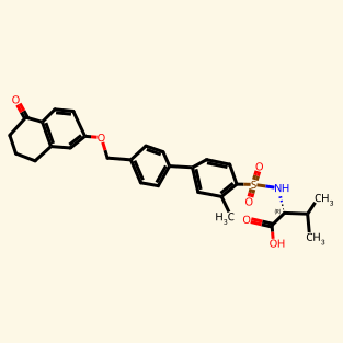 Cc1cc(-c2ccc(COc3ccc4c(c3)CCCC4=O)cc2)ccc1S(=O)(=O)N[C@@H](C(=O)O)C(C)C